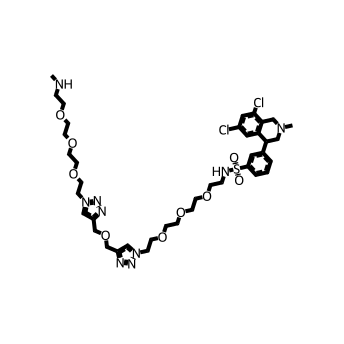 CNCCOCCOCCOCCn1cc(COCc2cn(CCOCCOCCOCCNS(=O)(=O)c3cccc(C4CN(C)Cc5c(Cl)cc(Cl)cc54)c3)nn2)nn1